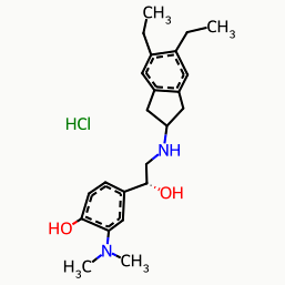 CCc1cc2c(cc1CC)CC(NC[C@H](O)c1ccc(O)c(N(C)C)c1)C2.Cl